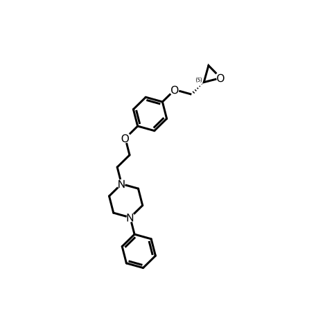 c1ccc(N2CCN(CCOc3ccc(OC[C@@H]4CO4)cc3)CC2)cc1